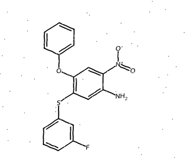 Nc1cc(Sc2cccc(F)c2)c(Oc2ccccc2)cc1[N+](=O)[O-]